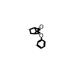 CC1(C)C2[CH]CC1C(Oc1c[c]ccc1)C2=O